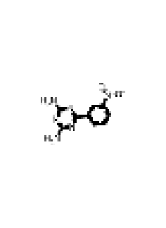 Nc1nc(N)nc(-c2cccc([N+](=O)[O-])c2)n1